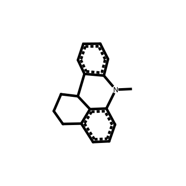 CN1c2ccccc2C2CCCc3cccc1c32